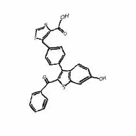 O=C(O)c1ncsc1-c1ccc(-c2c(C(=O)c3ccccc3)sc3cc(O)ccc23)cc1